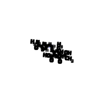 C[C@@H](O)[C@H]1C(=O)N2C(C(=O)O)=C(S/C=C\c3csc(C(N)=O)n3)[C@H](C)[C@H]12